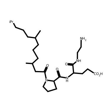 CC(C)CCCC(C)CCCC(C)CC(=O)N1CCCC1C(=O)NC(CCC(=O)O)C(=O)NCCN